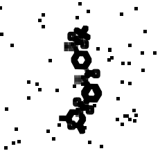 CC1CN(S(=O)(=O)c2cccc(NC(=O)[C@H]3CC[C@H](NS(=O)(=O)C(C)(C)C)CC3)c2)CC(C)O1